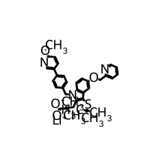 COc1ccc(-c2ccc(Cn3c(CC(C)(C)C(=O)[O-])c(SC(C)(C)C)c4cc(OCc5ccccn5)ccc43)cc2)cn1.[Li+]